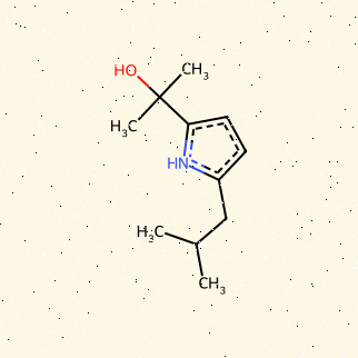 CC(C)Cc1ccc(C(C)(C)O)[nH]1